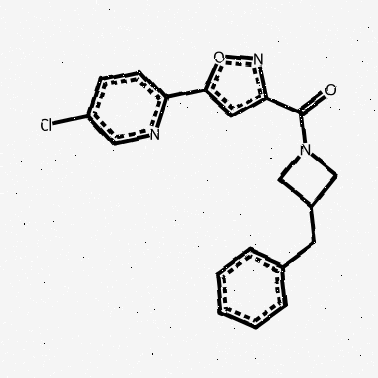 O=C(c1cc(-c2ccc(Cl)cn2)on1)N1CC(Cc2ccccc2)C1